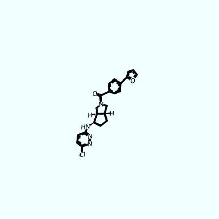 O=C(c1ccc(-c2ccco2)cc1)N1C[C@@H]2CC[C@@H](Nc3ccc(Cl)nn3)[C@@H]2C1